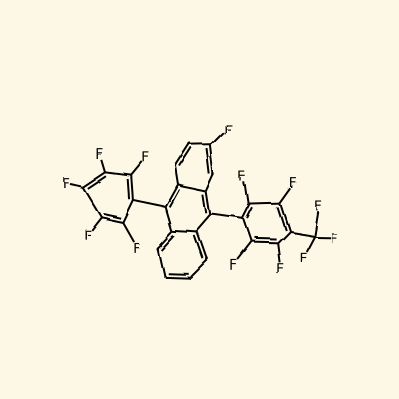 Fc1ccc2c(-c3c(F)c(F)c(F)c(F)c3F)c3ccccc3c(-c3c(F)c(F)c(C(F)(F)F)c(F)c3F)c2c1